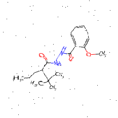 CCCC(C(=O)NNC(=O)c1ccccc1OC)C(C)(C)C